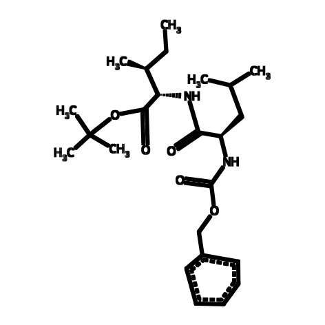 CC[C@H](C)[C@H](NC(=O)[C@@H](CC(C)C)NC(=O)OCc1ccccc1)C(=O)OC(C)(C)C